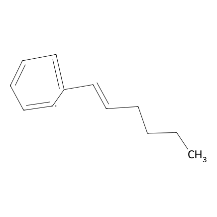 CCCC/C=C/c1[c]cccc1